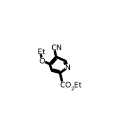 CCOC(=O)c1cc(OCC)c(C#N)cn1